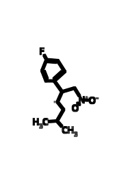 CC(C)C[CH]C(C[N+](=O)[O-])c1ccc(F)cc1